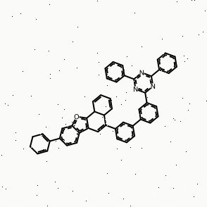 C1=CC2C(c3cccc(-c4cccc(-c5nc(-c6ccccc6)nc(-c6ccccc6)n5)c4)c3)=Cc3c(oc4cc(C5=CCCC=C5)ccc34)C2C=C1